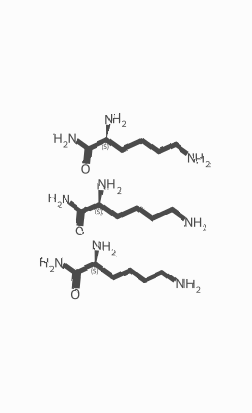 NCCCC[C@H](N)C(N)=O.NCCCC[C@H](N)C(N)=O.NCCCC[C@H](N)C(N)=O